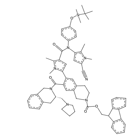 Cc1c(N(C(=O)c2cc(-c3cc4c(cc3C(=O)N3Cc5ccccc5C[C@H]3CN3CCCC3)CN(C(=O)OCC3c5ccccc5-c5ccccc53)CC4)n(C)c2C)c2ccc(O[Si](C)(C)C(C)(C)C)cc2)cc(C#N)n1C